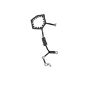 COC(=O)C#Cc1ccccc1F